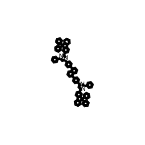 C1=CC2=C(CC1)C(c1ccccc1)(c1ccccc1)c1cc(-c3nc(-c4ccccc4)cc(-c4ccc(-c5cccc6c(-c7ccc(-c8cc(-c9ccc%10c(c9)C(c9ccccc9)(c9ccccc9)c9ccccc9-%10)nc(-c9ccccc9)n8)cc7)cccc56)cc4)n3)ccc12